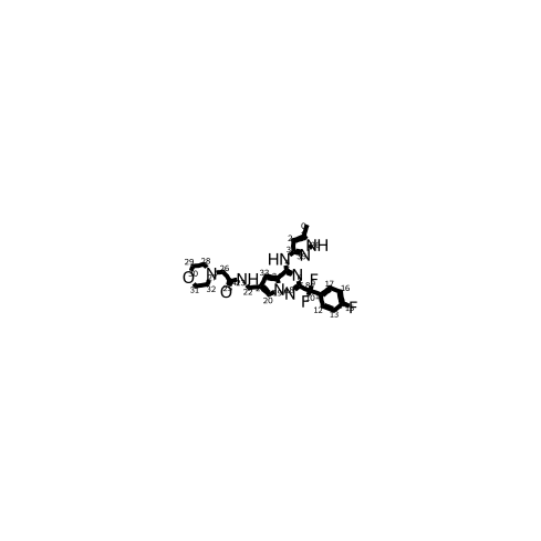 Cc1cc(Nc2nc(C(F)(F)c3ccc(F)cc3)nn3cc(CNC(=O)CN4CCOCC4)cc23)n[nH]1